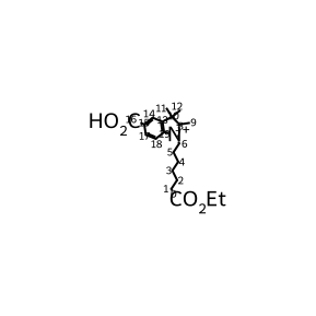 CCOC(=O)CCCCCC[N+]1=C(C)C(C)(C)c2cc(C(=O)O)ccc21